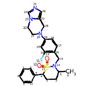 CC1CCC(c2ccccc2)S(=O)(=O)N1Cc1ccc(N2CCn3cncc3C2)cc1F